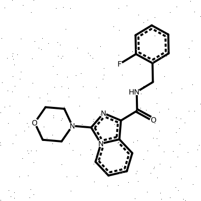 O=C(NCc1ccccc1F)c1nc(N2CCOCC2)n2ccccc12